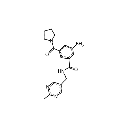 Bc1cc(C(=O)NCc2cnc(C)nc2)cc(C(=O)N2CCCC2)c1